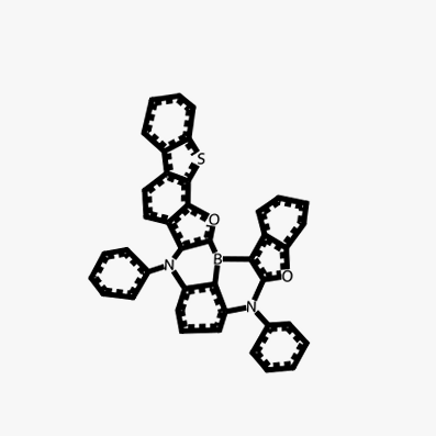 c1ccc(N2c3cccc4c3B(c3oc5c(ccc6c7ccccc7sc65)c3N4c3ccccc3)c3c2oc2ccccc32)cc1